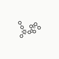 c1ccc(-c2ccc(-c3nc(-c4ccccc4)nc(-c4ccc5c6ccccc6n(-c6cccc7c6oc6c(-c8ccccc8)cccc67)c5c4)n3)cc2)cc1